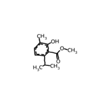 COC(=O)c1c(C(C)C)ccc(C)c1O